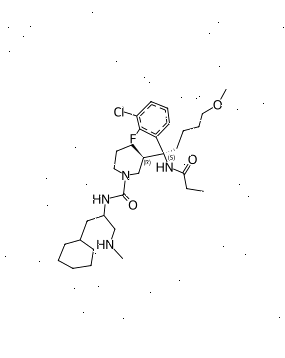 CCC(=O)N[C@](CCCCOC)(c1cccc(Cl)c1F)[C@@H]1CCCN(C(=O)NC(CNC)CC2CCCCC2)C1